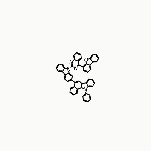 c1ccc(-n2c3ccccc3c3cc(-c4ccc5c6ccccc6n(-c6nc(-c7cccc8c7oc7ccccc78)c7ccccc7n6)c5c4)c4ccccc4c32)cc1